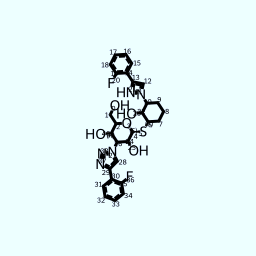 OCC1O[C@@H](S[C@@H]2CCCC(n3cc(-c4ccccc4F)[nH]3)C2O)C(O)C(n2cc(-c3ccccc3F)nn2)[C@H]1O